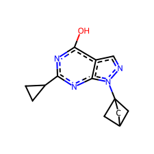 Oc1nc(C2CC2)nc2c1cnn2C12CC(C1)C2